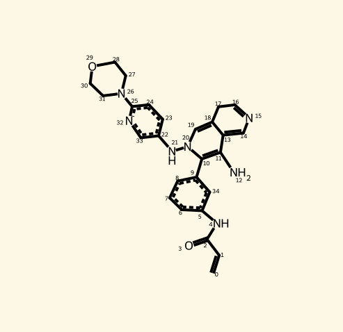 C=CC(=O)Nc1cccc(C2=C(N)C3=CN=CCC3=CN2Nc2ccc(N3CCOCC3)nc2)c1